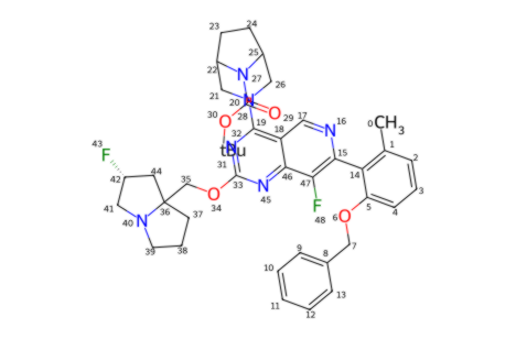 Cc1cccc(OCc2ccccc2)c1-c1ncc2c(N3CC4CCC(C3)N4C(=O)OC(C)(C)C)nc(OCC34CCCN3C[C@H](F)C4)nc2c1F